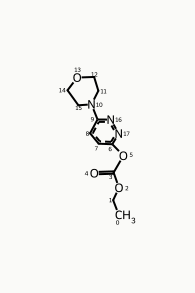 CCOC(=O)Oc1ccc(N2CCOCC2)nn1